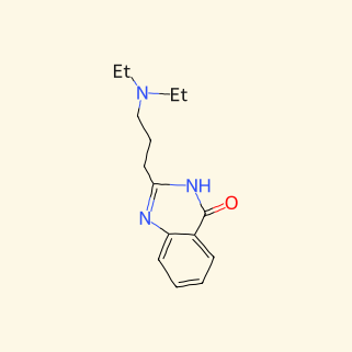 CCN(CC)CCCc1nc2ccccc2c(=O)[nH]1